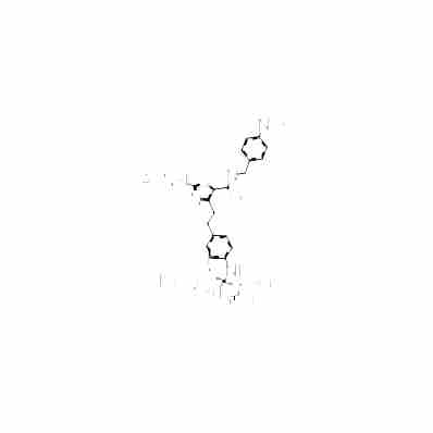 CC(=O)Nc1nc(CCc2ccc(NC(NC(=O)O)(N(C(=O)O)C(C)(C)C)C(C)(C)C)cc2)c(C(=O)NCc2ccc([N+](=O)[O-])cc2)s1